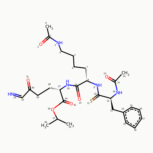 CC(=O)NCCCC[C@H](NC(=S)[C@H](Cc1ccccc1)NC(C)=O)C(=O)N[C@@H](CCC(=O)C=N)C(=O)OC(C)C